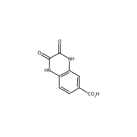 O=C(O)c1ccc2[nH]c(=O)c(=O)[nH]c2c1